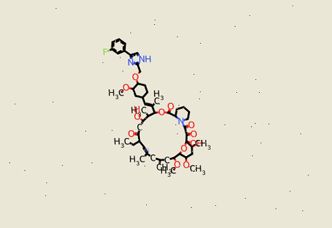 CCC1/C=C(\C)CC(C)CC(OC)C2OC(O)(C(=O)C(=O)N3CCCCC3C(=O)OC(C(C)=CC3CCC(OCc4nc(-c5cccc(F)c5)c[nH]4)C(OC)C3)C(C)C(O)CC1=O)C(C)CC2OC